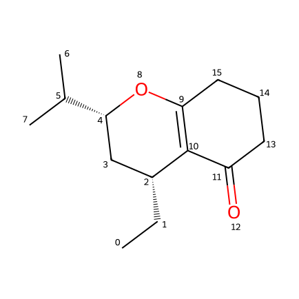 CC[C@@H]1C[C@H](C(C)C)OC2=C1C(=O)CCC2